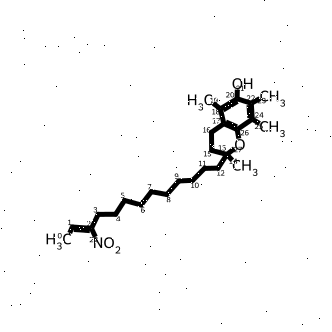 C/C=C(/CCCCCCCCCCC1(C)CCc2c(C)c(O)c(C)c(C)c2O1)[N+](=O)[O-]